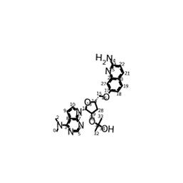 CN(C)c1ncnc2c1ccn2[C@@H]1O[C@H](COc2ccc3ccc(N)nc3c2)C[C@H]1OC(C)(C)O